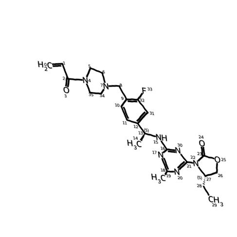 C=CC(=O)N1CCN(Cc2ccc([C@H](C)Nc3nc(C)nc(N4C(=O)OC[C@@H]4CC)n3)cc2F)CC1